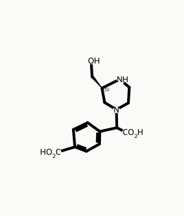 O=C(O)c1ccc(C(C(=O)O)N2CCN[C@H](CO)C2)cc1